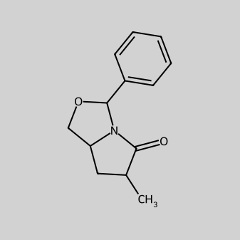 CC1CC2COC(c3ccccc3)N2C1=O